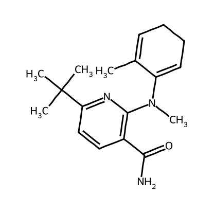 CC1=CCCC=C1N(C)c1nc(C(C)(C)C)ccc1C(N)=O